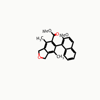 COC(=O)c1c(C)c2c(c(C)c1-c1c(OC)ccc3ccccc13)COC2